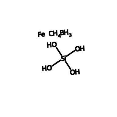 B.C.O[Si](O)(O)O.[Fe]